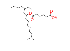 CCCCC(CC)CC(CCCCCCC(C)C)OC(=O)CCCCC(=O)O